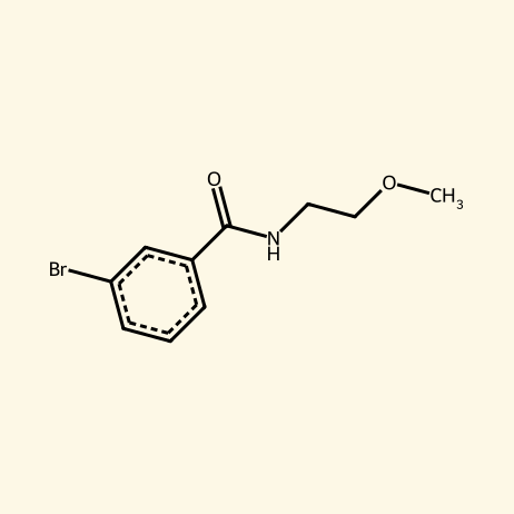 COCCNC(=O)c1cccc(Br)c1